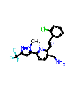 Cn1nc(C(F)(F)F)cc1-c1ccc(CN)c(/C=C/c2ccccc2Cl)n1